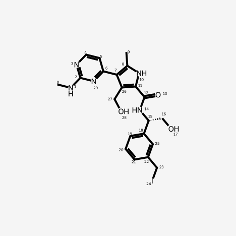 CNc1nccc(-c2c(C)[nH]c(C(=O)N[C@H](CO)c3cccc(CI)c3)c2CO)n1